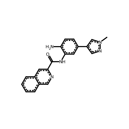 Cn1cc(-c2ccc(N)c(NC(=O)c3cc4ccccc4cn3)c2)cn1